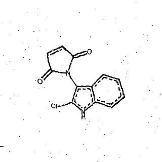 O=C1C=CC(=O)N1c1c(Cl)[nH]c2ccccc12